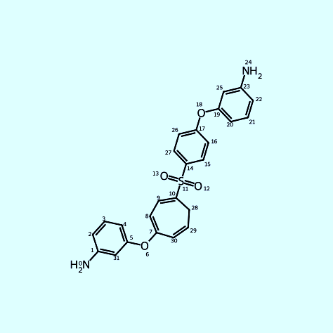 Nc1cccc(OC2=CC=C(S(=O)(=O)c3ccc(Oc4cccc(N)c4)cc3)CC=C2)c1